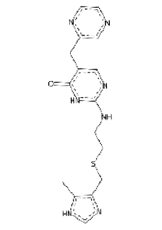 Cc1[nH]cnc1CSCCNc1ncc(Cc2cnccn2)c(=O)[nH]1